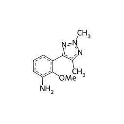 COc1c(N)cccc1-c1nn(C)nc1C